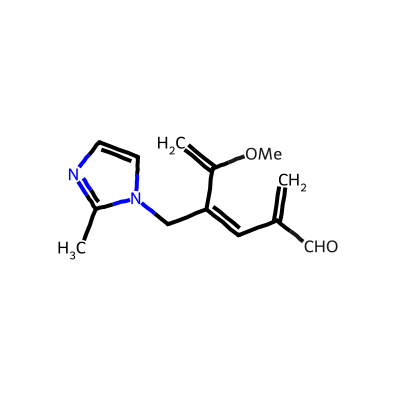 C=C(C=O)/C=C(/Cn1ccnc1C)C(=C)OC